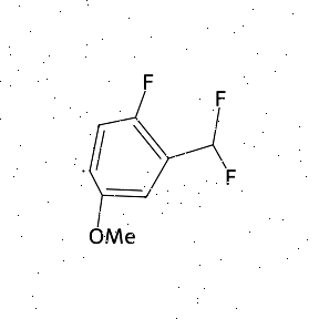 COc1[c]cc(F)c(C(F)F)c1